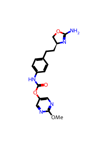 COc1ncc(OC(=O)Nc2ccc(CC[C@H]3COC(N)=N3)cc2)cn1